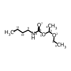 C[CH]OC(C)OC(=O)NCCCC